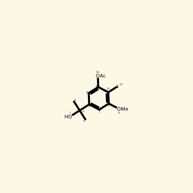 COc1cc(C(C)(C)O)cc(OC(C)=O)c1I